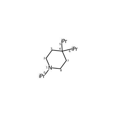 CC(C)N1CCC(C(C)C)(C(C)C)CC1